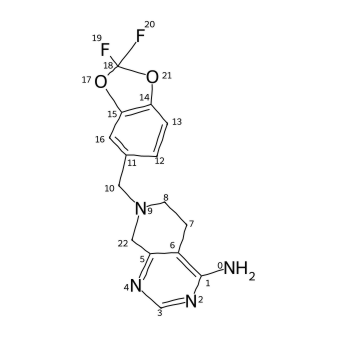 Nc1ncnc2c1CCN(Cc1ccc3c(c1)OC(F)(F)O3)C2